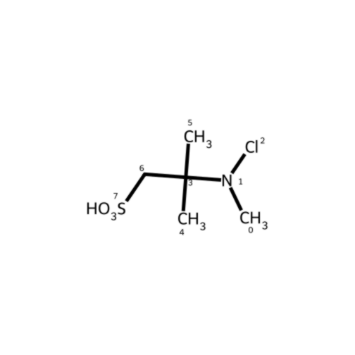 CN(Cl)C(C)(C)CS(=O)(=O)O